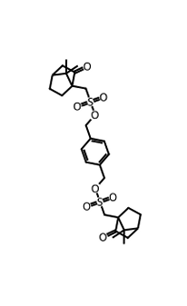 CC1(C)C2CCC1(CS(=O)(=O)OCc1ccc(COS(=O)(=O)CC34CCC(CC3=O)C4(C)C)cc1)C(=O)C2